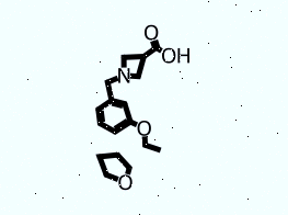 C1CCOC1.CCOc1cccc(CN2CC(C(=O)O)C2)c1